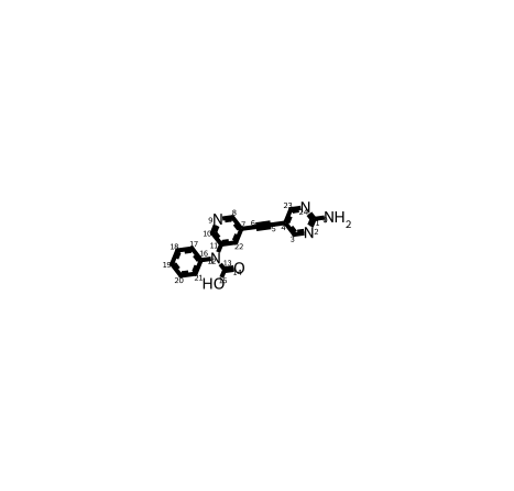 Nc1ncc(C#Cc2cncc(N(C(=O)O)c3ccccc3)c2)cn1